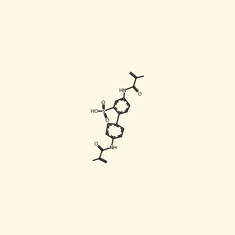 C=C(C)C(=O)Nc1ccc(-c2ccc(NC(=O)C(=C)C)cc2S(=O)(=O)O)cc1